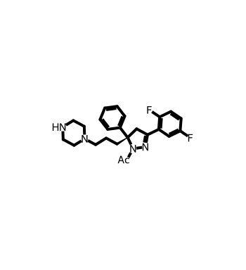 CC(=O)N1N=C(c2cc(F)ccc2F)C[C@@]1(CCCN1CCNCC1)c1ccccc1